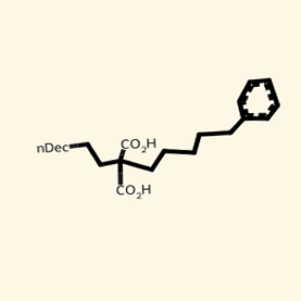 CCCCCCCCCCCCC(CCCCCc1ccccc1)(C(=O)O)C(=O)O